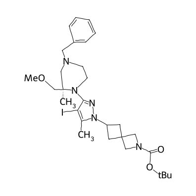 COC[C@@]1(C)CN(Cc2ccccc2)CCN1c1nn(C2CC3(C2)CN(C(=O)OC(C)(C)C)C3)c(C)c1I